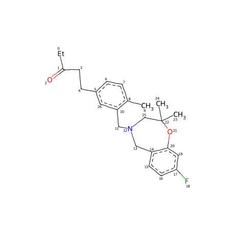 CCC(=O)CCc1ccc(C)c(CN2Cc3ccc(F)cc3OC(C)(C)C2)c1